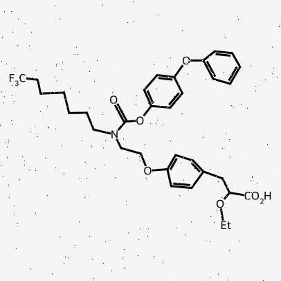 CCOC(Cc1ccc(OCCN(CCCCCCC(F)(F)F)C(=O)Oc2ccc(Oc3ccccc3)cc2)cc1)C(=O)O